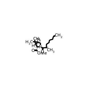 C=CCCCC[C@H](C)C(=O)N1C[C@H]2[C@@H]([C@H]1C(=O)OC)C2(C)C